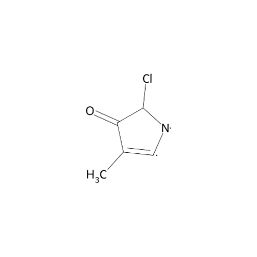 CC1=[C][N]C(Cl)C1=O